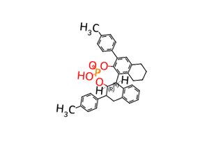 Cc1ccc(-c2cc3c(c4c2OP(=O)(O)O[C@@H]2C(c5ccc(C)cc5)Cc5ccccc5[C@H]42)CCCC3)cc1